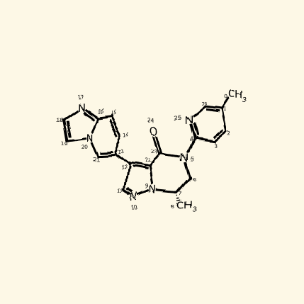 Cc1ccc(N2C[C@H](C)n3ncc(-c4ccc5nccn5c4)c3C2=O)nc1